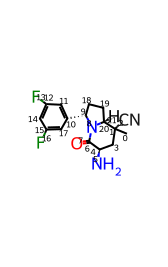 CC1(C#N)C[C@@H](N)C(=O)N2[C@H](c3cc(F)cc(F)c3)CC[C@@H]21